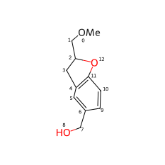 COCC1Cc2cc(CO)ccc2O1